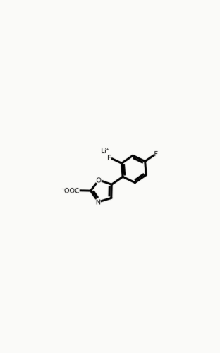 O=C([O-])c1ncc(-c2ccc(F)cc2F)o1.[Li+]